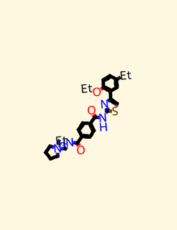 CCOc1ccc(CC)cc1-c1csc(NC(=O)c2ccc(C(=O)NC[N+]3(CC)CCCC3)cc2)n1